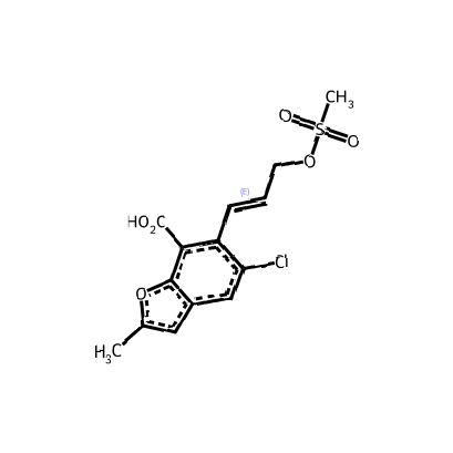 Cc1cc2cc(Cl)c(/C=C/COS(C)(=O)=O)c(C(=O)O)c2o1